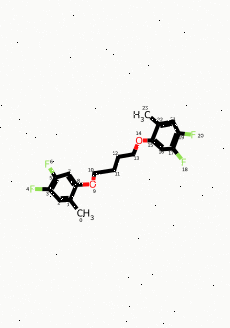 Cc1cc(F)c(F)cc1OCCCCOc1cc(F)c(F)cc1C